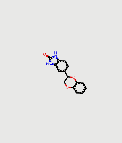 O=c1[nH]c2ccc(C3COc4ccccc4O3)cc2[nH]1